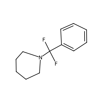 FC(F)(c1ccccc1)N1CCCCC1